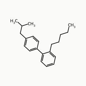 CCCCCc1ccccc1-c1ccc(CC(C)C)cc1